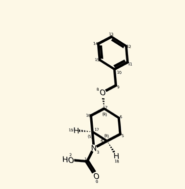 O=C(O)N1[C@@H]2CC[C@@H](OCc3ccccc3)C[C@@H]21